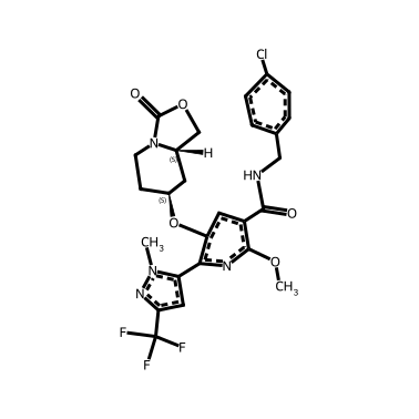 COc1nc(-c2cc(C(F)(F)F)nn2C)c(O[C@H]2CCN3C(=O)OC[C@@H]3C2)cc1C(=O)NCc1ccc(Cl)cc1